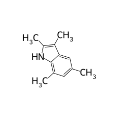 Cc1cc(C)c2[nH]c(C)c(C)c2c1